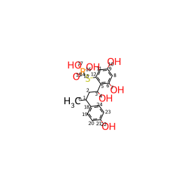 CC(CC(O)c1c(O)cc(O)cc1SP(=O)(O)O)c1ccc(O)cc1